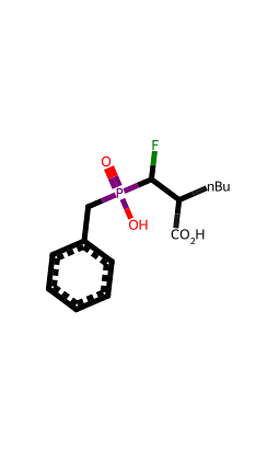 CCCCC(C(=O)O)C(F)P(=O)(O)Cc1ccccc1